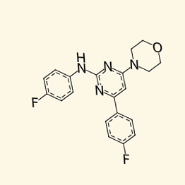 Fc1ccc(Nc2nc(-c3ccc(F)cc3)cc(N3CCOCC3)n2)cc1